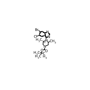 CC1CN(C(=O)OC(C)(C)C)C[C@H](C)N1c1ncnc2cc(Br)c(Cl)cc12